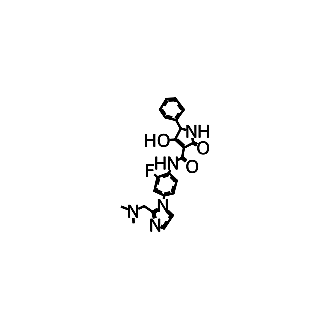 CN(C)Cc1nccn1-c1ccc(NC(=O)C2=C(O)C(c3ccccc3)NC2=O)c(F)c1